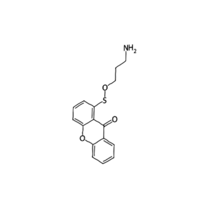 NCCCOSc1cccc2oc3ccccc3c(=O)c12